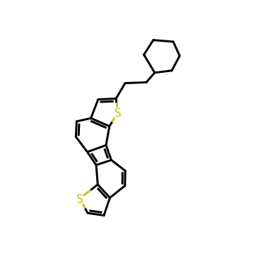 c1cc2ccc3c(c2s1)=c1ccc2cc(CCC4CCCCC4)sc2c1=3